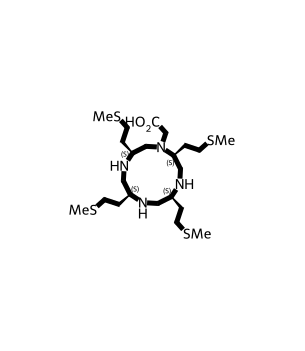 CSCC[C@H]1CN[C@@H](CCSC)CN(CC(=O)O)[C@@H](CCSC)CN[C@@H](CCSC)CN1